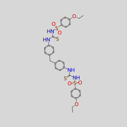 CCOc1ccc(S(=O)(=O)NC(=S)Nc2ccc(Cc3ccc(NC(=S)NS(=O)(=O)c4ccc(OCC)cc4)cc3)cc2)cc1